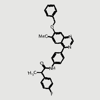 COc1cc2c(-c3ccc(NC(=O)C(C)c4ccc(F)cc4)cc3)ncnc2cc1OCc1ccccc1